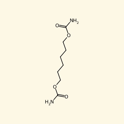 NC(=O)OCCCCCCOC(N)=O